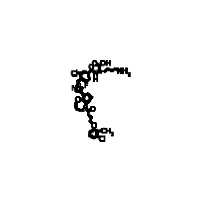 Cc1c(Cl)cccc1OCCCC(=O)N1CCCOc2c(-c3cnn(Cc4c(F)cc(C(=O)N[C@@H](CCCCN)C(=O)O)cc4Cl)c3)cccc21